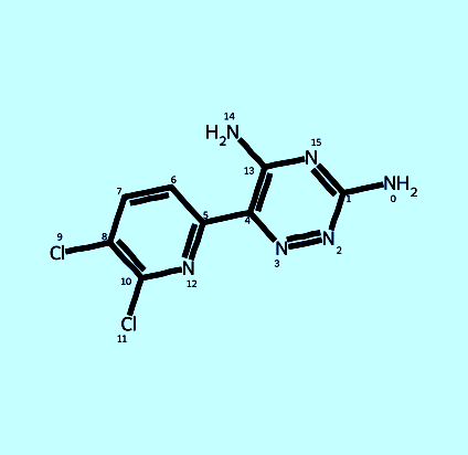 Nc1nnc(-c2ccc(Cl)c(Cl)n2)c(N)n1